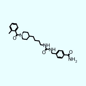 Cc1ccccc1C(=O)N1CCC(CCCCNC(=O)NCc2ccc(C(N)=O)cc2)CC1